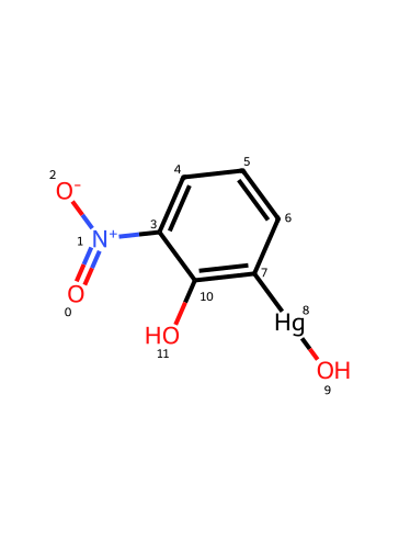 O=[N+]([O-])c1ccc[c]([Hg][OH])c1O